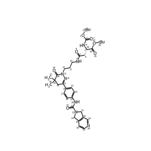 CC(C)(C)OC(=O)N[C@@H](CC(=O)NCCCN1N=C(c2ccc(NC(=O)N3Cc4ccncc4C3)cc2)CC(C)(C)C1=O)C(=O)OC(C)(C)C